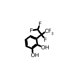 Oc1cccc(C(F)(C(F)F)C(F)(F)F)c1O